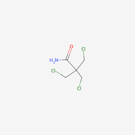 NC(=O)C(CCl)(CCl)CCl